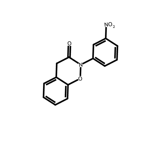 O=C1Cc2ccccc2ON1c1cccc([N+](=O)[O-])c1